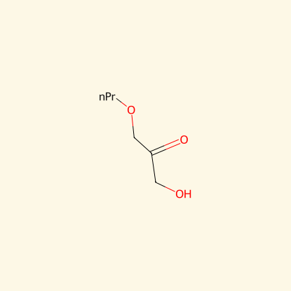 CCCOCC(=O)CO